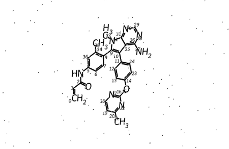 C=CC(=O)Nc1ccc(-c2c(-c3ccc(Oc4nccc(C)n4)cc3)c3c(N)ncnc3n2C)c(C)c1